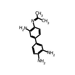 CC(C)=Nc1ccc(-c2ccc(N)c(N)c2)cc1N